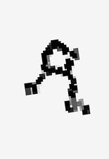 C=Cc1nccn1CC